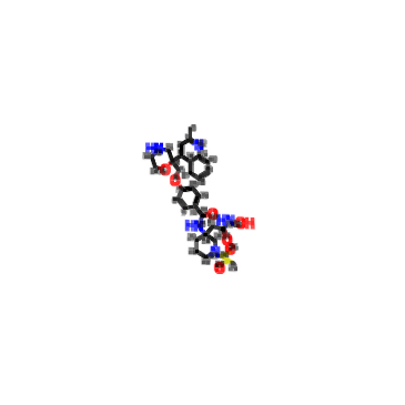 Cc1cc(C2(COc3ccc(C(=O)NC4(CC(=O)NO)CCCN(S(C)(=O)=O)C4)cc3)CNCCO2)c2ccccc2n1